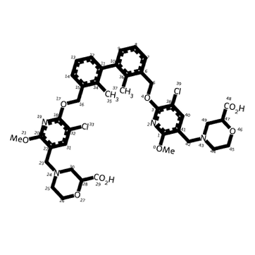 COc1nc(OCc2cccc(-c3cccc(COc4nc(OC)c(CN5CCOC(C(=O)O)C5)cc4Cl)c3C)c2C)c(Cl)cc1CN1CCOC(C(=O)O)C1